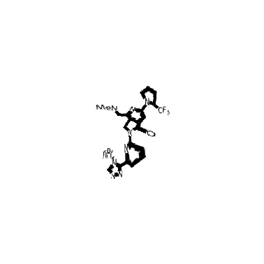 CCCn1cnnc1-c1cccc(N2Cc3c(cc(N4CCCC4C(F)(F)F)nc3CNC)C2=O)n1